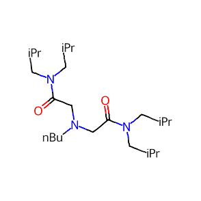 CCCCN(CC(=O)N(CC(C)C)CC(C)C)CC(=O)N(CC(C)C)CC(C)C